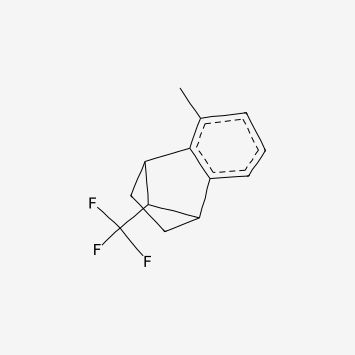 Cc1cccc2c1C1CCC2C1C(F)(F)F